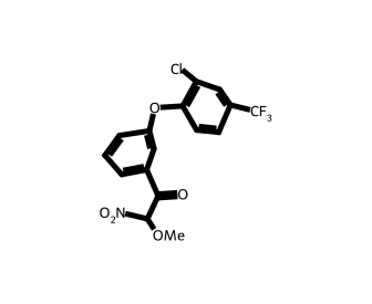 COC(C(=O)c1cccc(Oc2ccc(C(F)(F)F)cc2Cl)c1)[N+](=O)[O-]